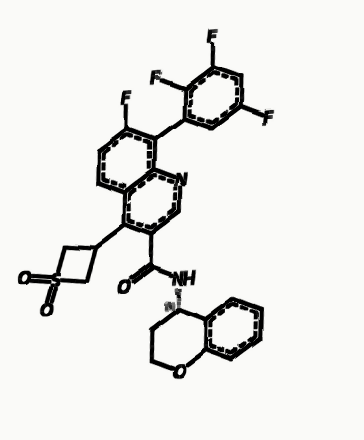 O=C(N[C@H]1CCOc2ccccc21)c1cnc2c(-c3cc(F)cc(F)c3F)c(F)ccc2c1C1CS(=O)(=O)C1